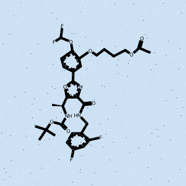 CC(=O)OCCCCOc1cc(-c2nc(C(=O)NCc3ccc(F)cc3F)c([C@H](C)NC(=O)OC(C)(C)C)o2)ccc1OC(F)F